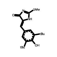 CSC1=NC(=O)C(=Cc2cc(C(C)(C)C)c(O)c(C(C)(C)C)c2)N1